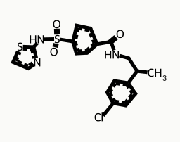 CC(CNC(=O)c1ccc(S(=O)(=O)Nc2nccs2)cc1)c1ccc(Cl)cc1